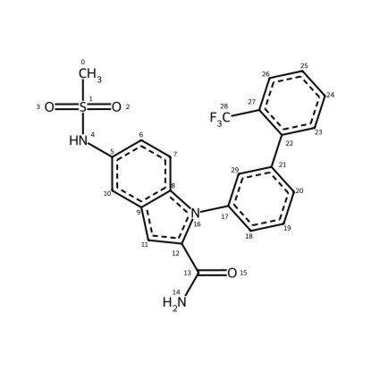 CS(=O)(=O)Nc1ccc2c(c1)cc(C(N)=O)n2-c1cccc(-c2ccccc2C(F)(F)F)c1